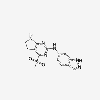 CS(=O)(=O)c1nc(Nc2ccc3cn[nH]c3c2)nc2c1CCN2